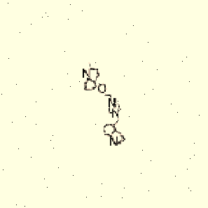 Cc1ccc2c(OCCN3CCN(Cc4cccc5ncccc45)CC3)cccc2n1